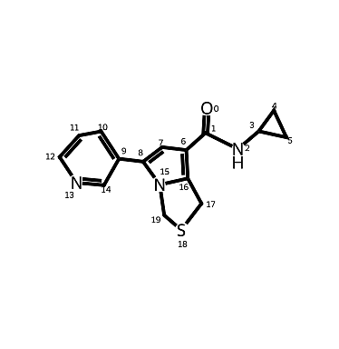 O=C(NC1CC1)c1cc(-c2cccnc2)n2c1CSC2